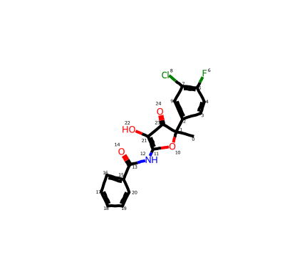 CC1(c2ccc(F)c(Cl)c2)OC(NC(=O)c2ccccc2)=C(O)C1=O